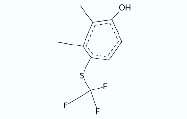 Cc1c(O)ccc(SC(F)(F)F)c1C